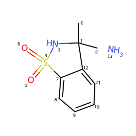 CC1(C)NS(=O)(=O)c2ccccc21.N